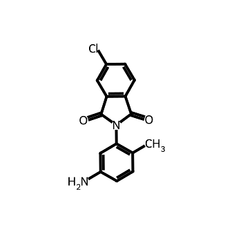 Cc1ccc(N)cc1N1C(=O)c2ccc(Cl)cc2C1=O